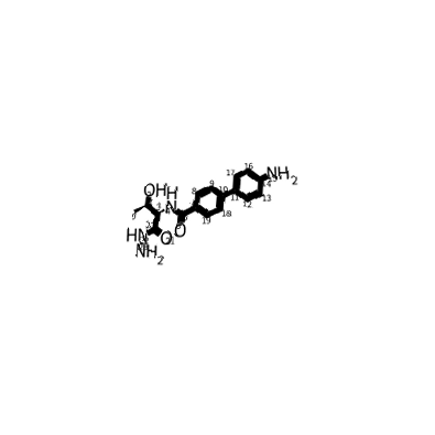 C[C@@H](O)[C@H](NC(=O)c1ccc(-c2ccc(N)cc2)cc1)C(=O)NN